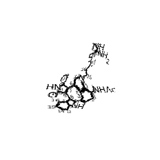 CC(=O)Nc1cccc2c(C3=C(c4c[nH]c5ccccc45)C(=O)NC3=O)cn(CCCSC(=N)N)c12